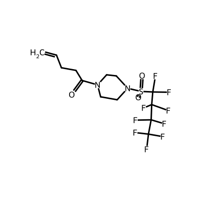 C=CCCC(=O)N1CCN(S(=O)(=O)C(F)(F)C(F)(F)C(F)(F)C(F)(F)F)CC1